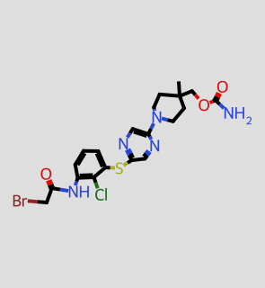 CC1(COC(N)=O)CCN(c2cnc(Sc3cccc(NC(=O)CBr)c3Cl)cn2)CC1